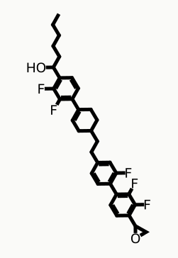 CCCCCC(O)c1ccc(C2=CCC(CCc3ccc(-c4ccc(C5CO5)c(F)c4F)c(F)c3)CC2)c(F)c1F